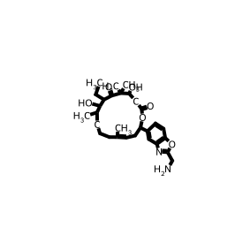 CCC1C(=O)C(C)(C)C(O)CC(=O)OC(c2ccc3oc(CN)nc3c2)C/C=C(\C)CCCC(C)C1O